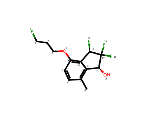 Cc1ccc(OCCCF)c2c1[C@H](O)C(F)(F)[C@@H]2F